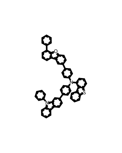 c1ccc(-c2cccc3c2oc2ccc(-c4ccc(N(c5ccc(-c6ccc7c8ccccc8n(-c8ccccc8)c7c6)cc5)c5cccc6sc7ccccc7c56)cc4)cc23)cc1